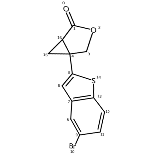 O=C1OCC2(c3cc4cc(Br)ccc4s3)CC12